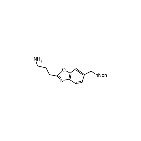 CCCCCCCCCCc1ccc2nc(CCCN)oc2c1